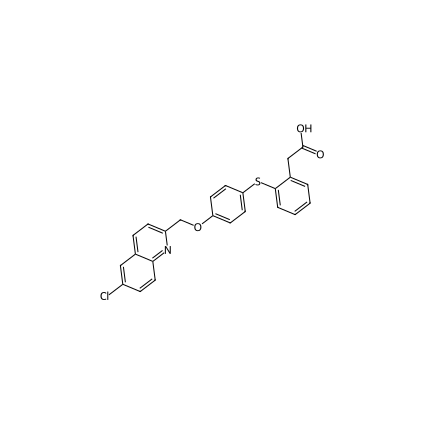 O=C(O)Cc1ccccc1Sc1ccc(OCc2ccc3cc(Cl)ccc3n2)cc1